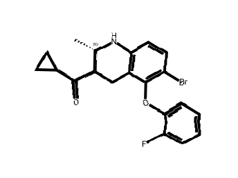 C[C@@H]1Nc2ccc(Br)c(Oc3ccccc3F)c2CC1C(=O)C1CC1